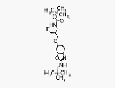 CC(C)(C)CNc1nc2ccc(OCC(=CF)CNC(=O)OC(C)(C)C)cc2o1